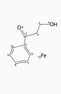 O=C(CCO)c1ccccc1.[Fe]